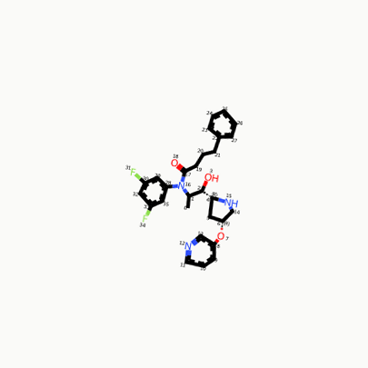 CC(C(O)[C@H]1C[C@@H](Oc2cccnc2)CN1)N(C(=O)CCCc1ccccc1)c1cc(F)cc(F)c1